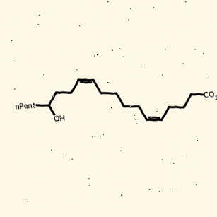 CCCCCC(O)CC/C=C\CCCC/C=C\CCCC(=O)O